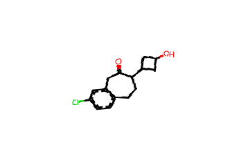 O=C1Cc2cc(Cl)ccc2CCC1C1CC(O)C1